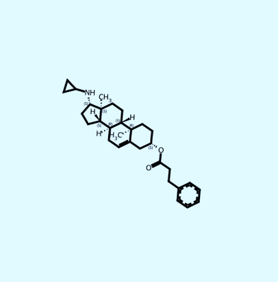 C[C@]12CC[C@H]3[C@@H](CC=C4C[C@@H](OC(=O)CCc5ccccc5)CC[C@@]43C)[C@@H]1CC[C@@H]2NC1CC1